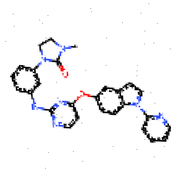 CN1CCN(c2cccc(Nc3nccc(Oc4ccc5c(ccn5-c5ccccn5)c4)n3)c2)C1=O